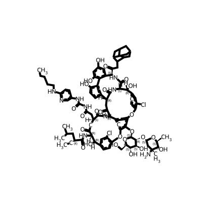 CCCCCNc1ccc(NC(=O)NC(=O)C[C@@H]2CC(=O)[C@H](NC(=O)[C@H](CC)CC(C)C)[C@H](O)c3ccc(c(Cl)c3)Oc3cc4cc(c3O[C@@H]3O[C@H](CO)[C@@H](O)[C@H](O)[C@H]3O[C@H]3C[C@](C)(N)[C@H](O)[C@H](C)O3)Oc3ccc(cc3Cl)[C@@H](O)[C@@H]3NC(=O)[C@H](CC(=O)[C@@H]4NC2=O)c2ccc(O)c(c2)-c2c(O)cc(O)cc2[C@@H](C(=O)CC2C4CC5CC(C4)CC2C5)NC3=O)cn1